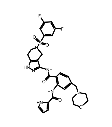 O=C(Nc1cc(CN2CCOCC2)ccc1C(=O)Nc1n[nH]c2c1CN(S(=O)(=O)c1cc(F)cc(F)c1)CC2)c1ccc[nH]1